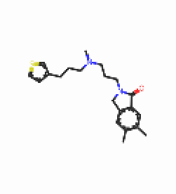 Cc1cc2c(cc1C)C(=O)N(CCCN(C)CCCc1ccsc1)C2